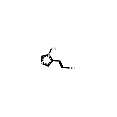 Cn1cncc1/C=C/C(=O)O